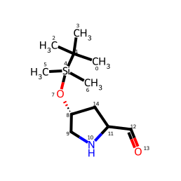 CC(C)(C)[Si](C)(C)O[C@H]1CNC(C=O)C1